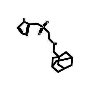 O=S(=O)(CCNCC12CC3CC(CC(C3)C1)C2)Cc1ncc[nH]1